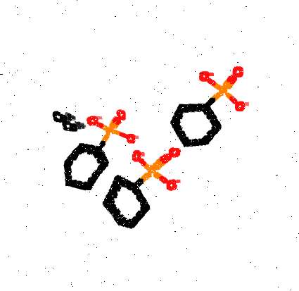 O=P([O-])([O-])c1ccccc1.O=P([O-])([O-])c1ccccc1.O=P([O-])([O-])c1ccccc1.[Co+3].[Co+3]